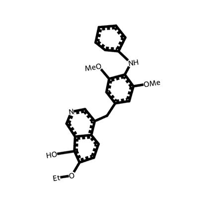 CCOc1ccc2c(Cc3cc(OC)c(Nc4ccccc4)c(OC)c3)cncc2c1O